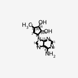 CC1=C[C@@H](n2cnc3c(N)ncnc32)[C@H](O)[C@@H]1O